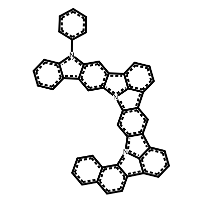 c1ccc(-n2c3ccccc3c3cc4c(cc32)c2cccc3c5cc6c7cccc8c9ccc%10ccccc%10c9n(c6cc5n4c23)c78)cc1